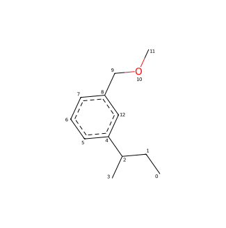 CCC(C)c1cccc(COC)c1